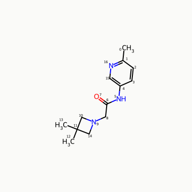 Cc1ccc(NC(=O)CN2CC(C)(C)C2)cn1